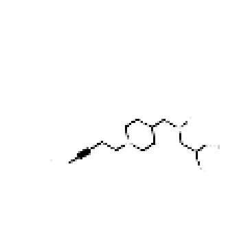 CCCCC(CCCC)CN(C)CC1CCN(CCC#CC(C)CCC)CC1